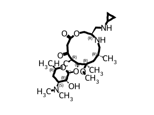 CO[C@]1(C)C[C@@H](C)CN[C@H](CNC2CC2)COC(=O)CC(=O)[C@H](C)[C@H]1O[C@@H]1O[C@H](C)C[C@H](N(C)C)[C@H]1O